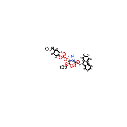 CC(C)(C)OC(=O)[C@H](COC(=O)Oc1ccc([N+](=O)[O-])cc1)NC(=O)OCC1c2ccccc2-c2ccccc21